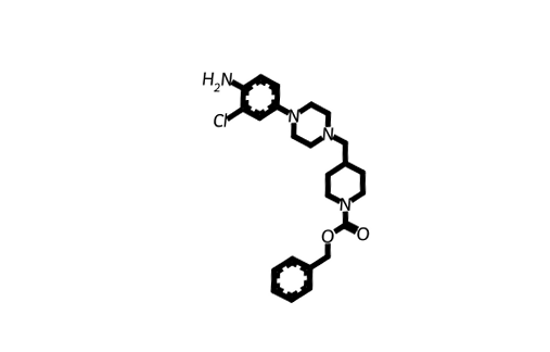 Nc1ccc(N2CCN(CC3CCN(C(=O)OCc4ccccc4)CC3)CC2)cc1Cl